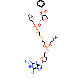 N#CCCOP(OCCSCCOP(OCCC#N)OC[C@H]1OCC2OB(c3ccccc3)OC21)OCC1CCC(n2cnc3c(=O)[nH]c(N)nc32)O1